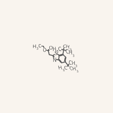 CCOC(=O)Cc1nc2cc(C(C)(C)C)cc(C(C)(C)C)c2s1